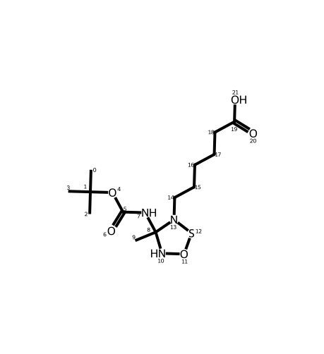 CC(C)(C)OC(=O)NC1(C)NOSN1CCCCCC(=O)O